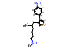 CCCC(CCCCNCC)Cc1cscc1-c1ccc(N)cc1